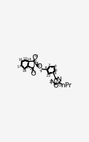 CCCc1nc(-c2cccc(CON3C(=O)c4ccccc4C3=O)c2)no1